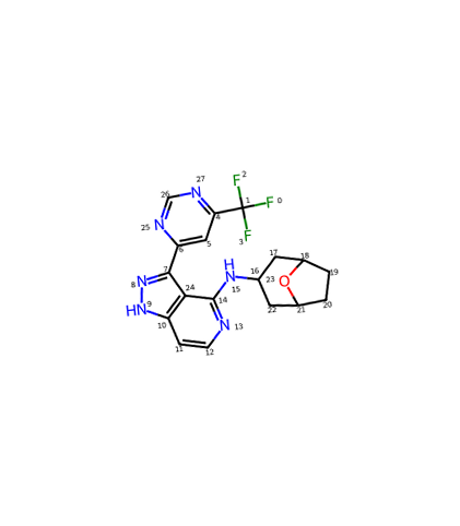 FC(F)(F)c1cc(-c2n[nH]c3ccnc(NC4CC5CCC(C4)O5)c23)ncn1